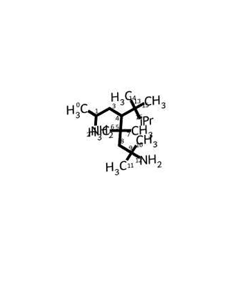 CC(N)CC(C(C)(C)CC(C)(C)N)C(C)(C)C(C)C